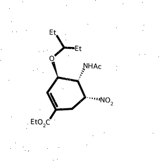 CCOC(=O)C1=C[C@@H](OC(CC)CC)[C@H](NC(C)=O)[C@H]([N+](=O)[O-])C1